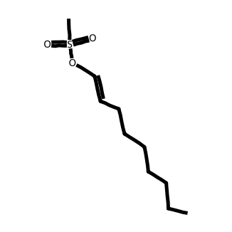 CCCCCCCC=COS(C)(=O)=O